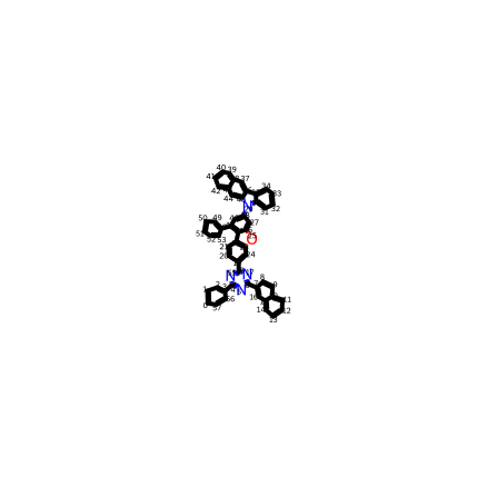 c1ccc(-c2nc(-c3ccc4ccccc4c3)nc(-c3ccc4c(c3)oc3cc(-n5c6ccccc6c6cc7ccccc7cc65)cc(-c5ccccc5)c34)n2)cc1